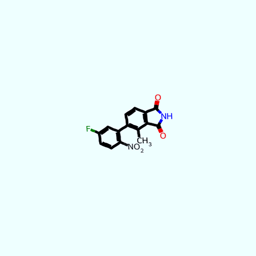 Cc1c(-c2cc(F)ccc2[N+](=O)[O-])ccc2c1C(=O)NC2=O